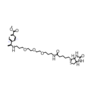 C=C(/C=C\C(=C/C)C(=C)NCCCOCCOCCOCCCNC(=O)CCCC[C@@H]1SC[C@@H]2NC(=O)N[C@@H]21)C(=O)OC